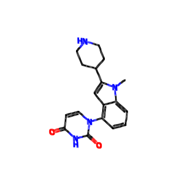 Cn1c(C2CCNCC2)cc2c(-n3ccc(=O)[nH]c3=O)cccc21